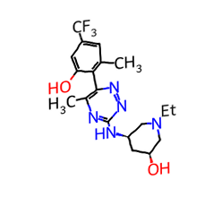 CCN1C[C@@H](O)C[C@@H](Nc2nnc(-c3c(C)cc(C(F)(F)F)cc3O)c(C)n2)C1